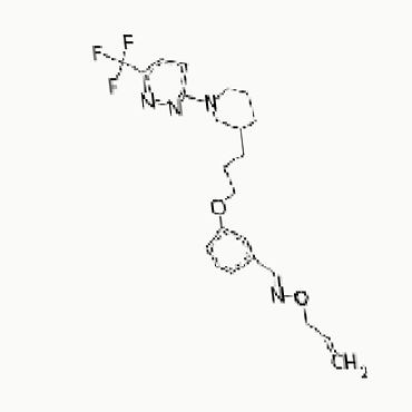 C=CCON=Cc1cccc(OCCCC2CCCN(c3ccc(C(F)(F)F)nn3)C2)c1